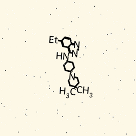 CCc1ccc2ncnc(NC3CCC(N4CCC(C)(C)CC4)CC3)c2c1